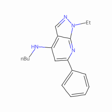 CCCCNc1cc(-c2ccccc2)nc2c1cnn2CC